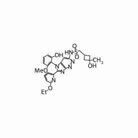 CCOC1=NC(c2nc3nnc(NS(=O)(=O)CC4CC(C)(O)C4)cc3n2-c2c(O)cccc2OC)=C=C=C1